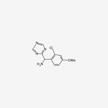 COc1ccc(C(N)c2ncncn2)c(Cl)c1